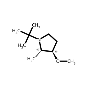 CO[C@@H]1CCN(C(C)(C)C)[C@H]1C